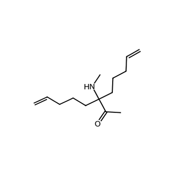 C=CCCCC(CCCC=C)(NC)C(C)=O